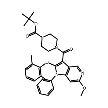 COc1cc2c(cn1)c(C(=O)N1CCN(C(=O)OC(C)(C)C)CC1)c(Oc1c(C)cccc1C)n2-c1ccccc1